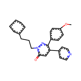 COc1ccc(-c2nn(CCCc3ccccc3)c(=O)cc2-c2ccncc2)cc1